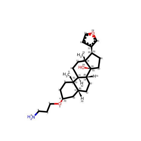 C[C@]12CC[C@H](OCCCN)C[C@H]1CC[C@@H]1[C@@H]2CC[C@]2(C)[C@@H](c3ccoc3)CC[C@]12O